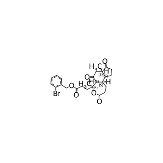 C[C@]1(CCC(=O)OCc2ccccc2Br)OC(=O)CC[C@@H]2[C@@H]1C(=O)C[C@]1(C)C(=O)CC[C@@H]21